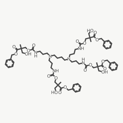 CC(CO)(COC(=O)NCCCN(CCCCN(CCCNC(=O)OCC(C)(CO)C(=O)OCc1ccccc1)CCCNC(=O)OCC(C)(CO)C(=O)OCc1ccccc1)CCCNC(=O)OCC(C)(CO)C(=O)OCc1ccccc1)C(=O)OCc1ccccc1